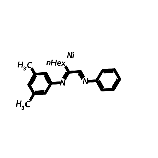 CCCCCCC(C=Nc1ccccc1)=Nc1cc(C)cc(C)c1.[Ni]